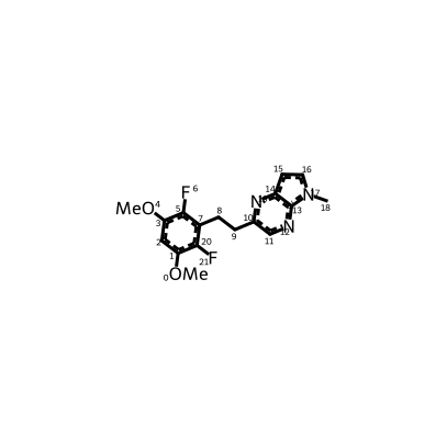 COc1cc(OC)c(F)c(CCc2cnc3c(ccn3C)n2)c1F